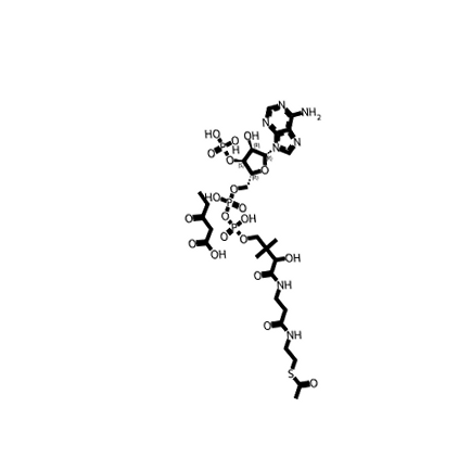 CC(=O)SCCNC(=O)CCNC(=O)C(O)C(C)(C)COP(=O)(O)OP(=O)(O)OC[C@H]1O[C@@H](n2cnc3c(N)ncnc32)[C@H](O)[C@@H]1OP(=O)(O)O.CCC(=O)CC(=O)O